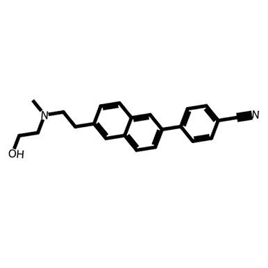 CN(CCO)CCc1ccc2cc(-c3ccc(C#N)cc3)ccc2c1